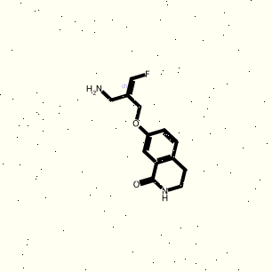 NC/C(=C/F)COc1ccc2c(c1)C(=O)NCC2